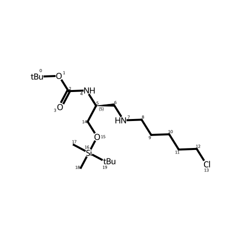 CC(C)(C)OC(=O)N[C@@H](CNCCCCCCl)CO[Si](C)(C)C(C)(C)C